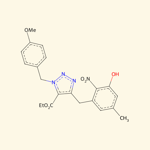 CCOC(=O)c1c(Cc2cc(C)cc(O)c2[N+](=O)[O-])nnn1Cc1ccc(OC)cc1